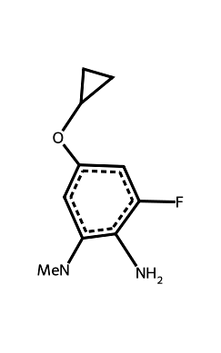 CNc1cc(OC2CC2)cc(F)c1N